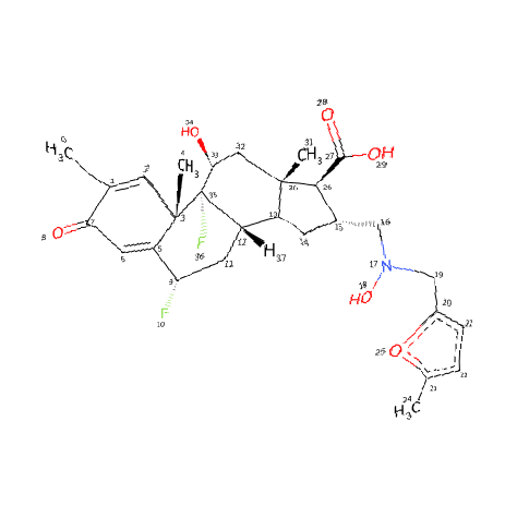 CC1=C[C@@]2(C)C(=CC1=O)[C@@H](F)C[C@H]1C3C[C@@H](CN(O)Cc4ccc(C)o4)[C@H](C(=O)O)[C@@]3(C)C[C@H](O)[C@@]12F